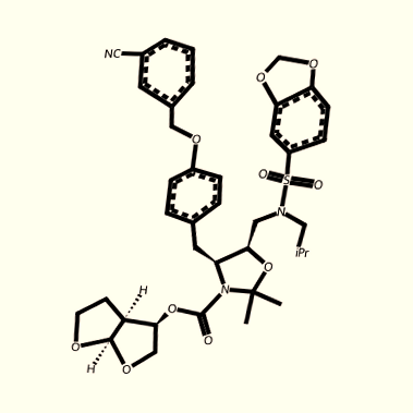 CC(C)CN(C[C@H]1OC(C)(C)N(C(=O)O[C@H]2CO[C@H]3OCC[C@H]32)[C@H]1Cc1ccc(OCc2cccc(C#N)c2)cc1)S(=O)(=O)c1ccc2c(c1)OCO2